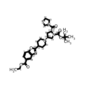 CCOC(=O)c1ccc2oc(C3CCN([C@H]4C[C@@H](C(=O)N5CCSC5)N(C(=O)OC(C)(C)C)C4)CC3)nc2c1